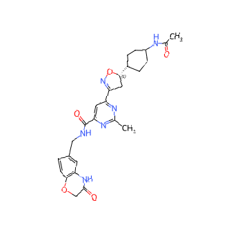 CC(=O)NC1CCC([C@@H]2CC(c3cc(C(=O)NCc4ccc5c(c4)NC(=O)CO5)nc(C)n3)=NO2)CC1